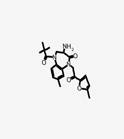 Cc1ccc2c(c1)N(CC(=O)c1ccc(C)o1)C(=O)C(N)CN2C(=O)C(C)(C)C